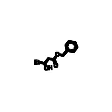 CCC(O)CC(=O)OCc1ccccc1